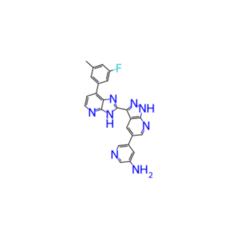 Cc1cc(F)cc(-c2ccnc3[nH]c(-c4n[nH]c5ncc(-c6cncc(N)c6)cc45)nc23)c1